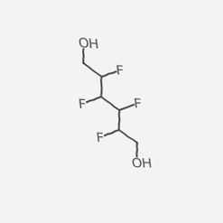 OCC(F)C(F)C(F)C(F)CO